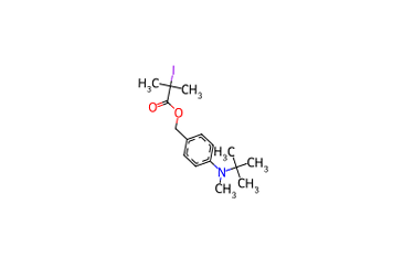 CN(c1ccc(COC(=O)C(C)(C)I)cc1)C(C)(C)C